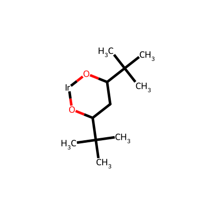 CC(C)(C)C1CC(C(C)(C)C)[O][Ir][O]1